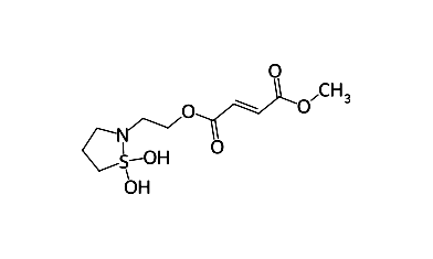 COC(=O)/C=C/C(=O)OCCN1CCCS1(O)O